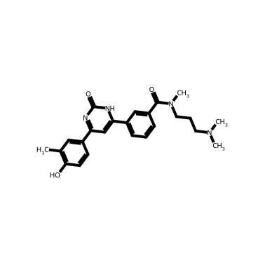 Cc1cc(-c2cc(-c3cccc(C(=O)N(C)CCCN(C)C)c3)[nH]c(=O)n2)ccc1O